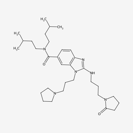 CC(C)CCN(CCC(C)C)C(=O)c1ccc2nc(NCCCN3CCCC3=O)n(CCCN3CCCC3)c2c1